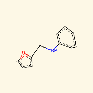 [c]1ccc(CNc2ccccc2)o1